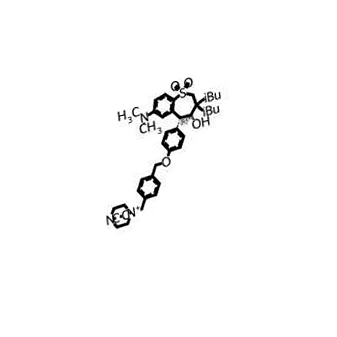 CCC(C)C1(C(C)CC)CS(=O)(=O)c2ccc(N(C)C)cc2[C@@H](c2ccc(OCc3ccc(C[N+]45CCN(CC4)CC5)cc3)cc2)[C@H]1O